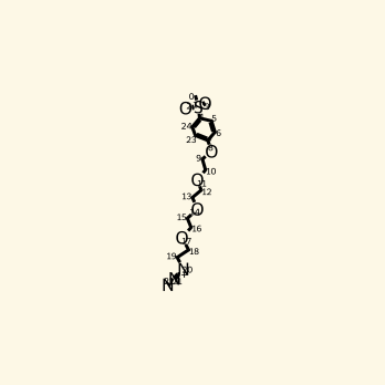 CS(=O)(=O)c1ccc(OCCOCCOCCOCCN=[N+]=[N-])cc1